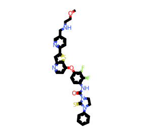 COCCNCc1ccc(-c2cc3nccc(Oc4ccc(NC(=O)N5CCN(c6ccccc6)C5=S)c(F)c4F)c3s2)nc1